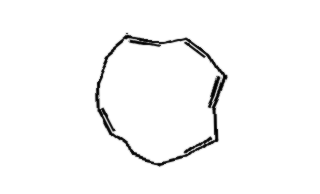 [C]1=C/C=C\C=C\C=C/CC/C=C\CC/1